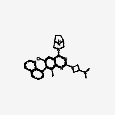 CN(C)C1CN(c2nc(N3CC4CCC(C3)N4)c3cc(Cl)c(-c4cccc5cccnc45)c(F)c3n2)C1